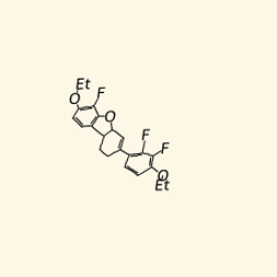 CCOc1ccc(C2=CC3Oc4c(ccc(OCC)c4F)C3CC2)c(F)c1F